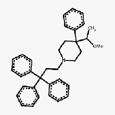 COC(C)C1(c2ccccc2)CCN(CCC(c2ccccc2)(c2ccccc2)c2ccccc2)CC1